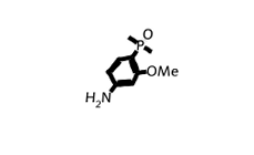 COc1cc(N)ccc1P(C)(C)=O